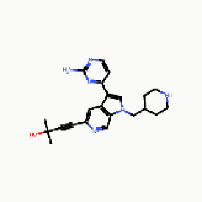 CC(C)(O)C#Cc1cc2c(-c3ccnc(N)n3)cn(CC3CCNCC3)c2cn1